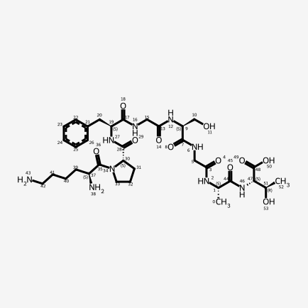 C[C@H](NC(=O)CNC(=O)[C@H](CO)NC(=O)CNC(=O)[C@H](Cc1ccccc1)NC(=O)[C@@H]1CCCN1C(=O)[C@@H](N)CCCCN)C(=O)N[C@H](C(=O)O)[C@@H](C)O